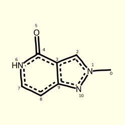 Cn1cc2c(=O)[nH]ccc2n1